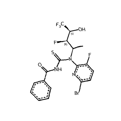 CC([C@@H](F)[C@H](O)C(F)(F)F)N(C(=S)NC(=O)c1ccccc1)c1nc(Br)ccc1F